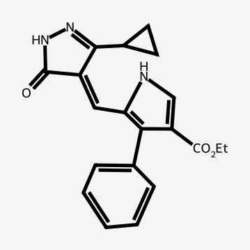 CCOC(=O)c1c[nH]c(C=C2C(=O)NN=C2C2CC2)c1-c1ccccc1